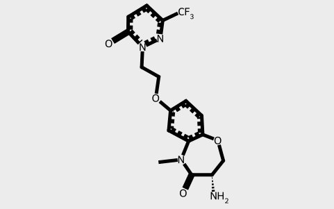 CN1C(=O)[C@@H](N)COc2ccc(OCCn3nc(C(F)(F)F)ccc3=O)cc21